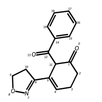 O=C1CCC=C(C2=NOCC2)C1C(=O)c1ccccc1